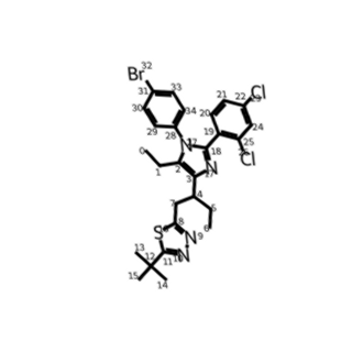 CCc1c(C(CC)Cc2nnc(C(C)(C)C)s2)nc(-c2ccc(Cl)cc2Cl)n1-c1ccc(Br)cc1